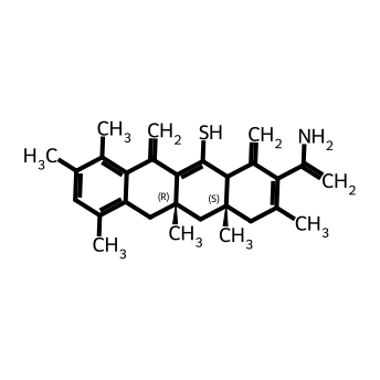 C=C(N)C1=C(C)C[C@]2(C)C[C@]3(C)Cc4c(C)cc(C)c(C)c4C(=C)C3=C(S)C2C1=C